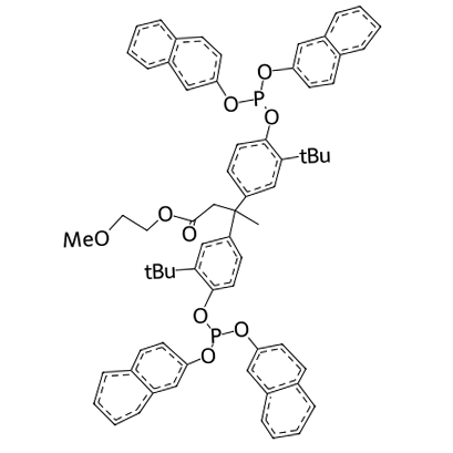 COCCOC(=O)CC(C)(c1ccc(OP(Oc2ccc3ccccc3c2)Oc2ccc3ccccc3c2)c(C(C)(C)C)c1)c1ccc(OP(Oc2ccc3ccccc3c2)Oc2ccc3ccccc3c2)c(C(C)(C)C)c1